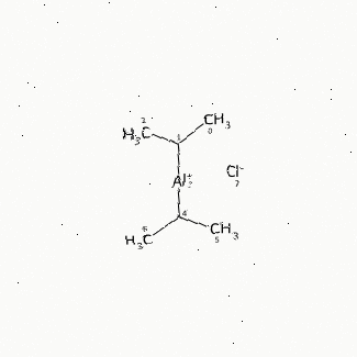 C[CH](C)[Al+][CH](C)C.[Cl-]